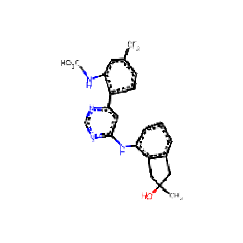 CC1(O)Cc2cccc(Nc3cc(-c4ccc(C(F)(F)F)cc4NC(=O)O)ncn3)c2C1